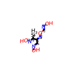 ON=CON=C(C=NO)C([SiH3])=NO